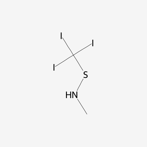 CNSC(I)(I)I